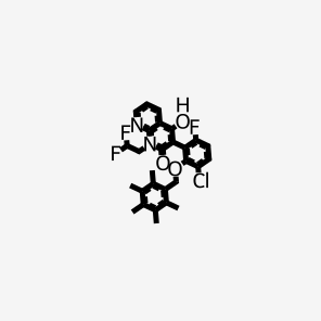 Cc1c(C)c(C)c(COc2c(Cl)ccc(F)c2-c2c(O)c3cccnc3n(CC(F)F)c2=O)c(C)c1C